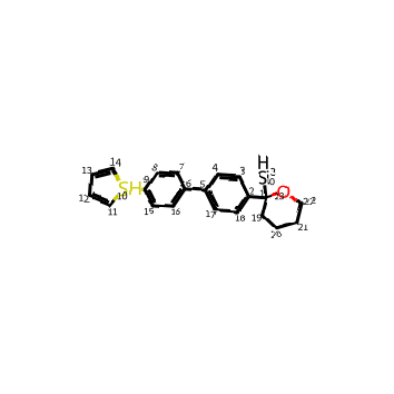 [SiH3]C1(c2ccc(-c3ccc([SH]4C=CC=C4)cc3)cc2)CCCCO1